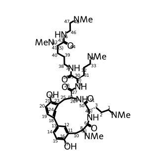 CNCCC[C@@H]1NC(=O)[C@@H](NC)Cc2cc(ccc2O)-c2ccc(O)c(c2)C[C@@H](C(=O)N[C@H](CCCNC)C(=O)NCCC[C@H](NC)C(=O)NCCNC)NC1=O